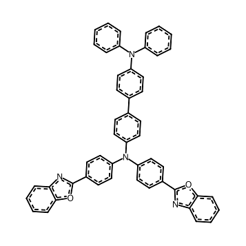 c1ccc(N(c2ccccc2)c2ccc(-c3ccc(N(c4ccc(-c5nc6ccccc6o5)cc4)c4ccc(-c5nc6ccccc6o5)cc4)cc3)cc2)cc1